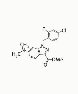 COC(=O)c1nn(Cc2ccc(Cl)cc2F)c2cc(N(C)C)ccc12